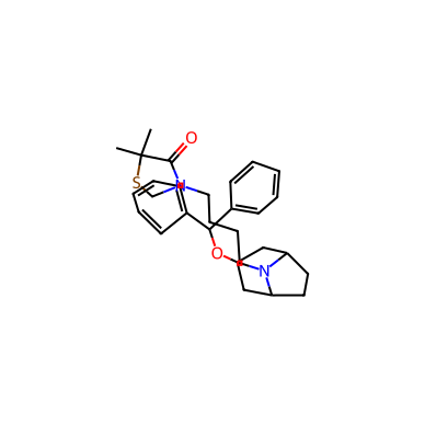 CC1(C)SCN(CCCCN2C3CCC2CC(OC(c2ccccc2)c2ccccc2)C3)C1=O